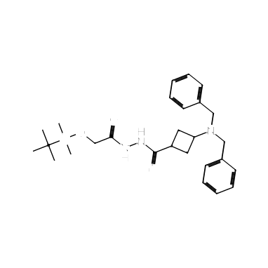 CC(C)(C)[Si](C)(C)OCC(=O)NNC(=O)C1CC(N(Cc2ccccc2)Cc2ccccc2)C1